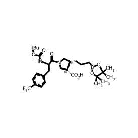 CC(C)(C)OC(=O)NC(Cc1ccc(C(F)(F)F)cc1)C(=O)N1C[C@H](CCCB2OC(C)(C)C(C)(C)O2)[C@H](C(=O)O)C1